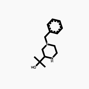 CC(C)(O)C1CN(Cc2ccccc2)CCN1